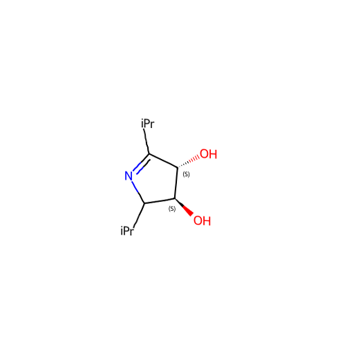 CC(C)C1=NC(C(C)C)[C@H](O)[C@H]1O